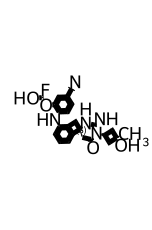 C[C@]1(O)C[C@@H](N2C(=N)N[C@]3(CC2=O)Cc2c(Nc4ccc(C#N)cc4OC(O)F)cccc23)C1